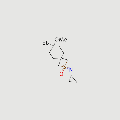 CCC1(OC)CCC2(CC1)CS(=O)(=NC1CC1)C2